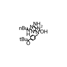 CCCCNc1nc(N)c2nc(O)n(Cc3ccc(C(=O)C(C)(C)C)cc3)c2n1